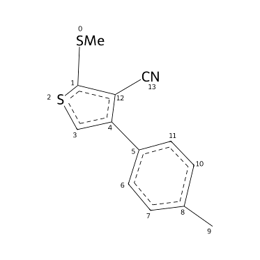 CSc1scc(-c2ccc(C)cc2)c1C#N